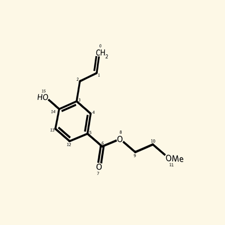 C=CCc1cc(C(=O)OCCOC)ccc1O